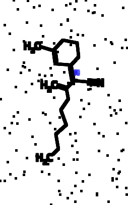 C=C(CCCCCC)/C(C#N)=C1\C=C(C)CCC1